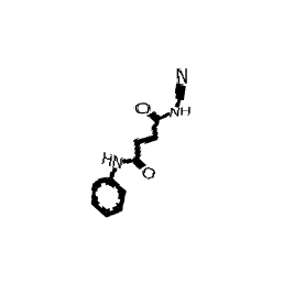 N#CNC(=O)CCC(=O)Nc1ccccc1